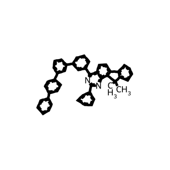 CC1(C)c2ccccc2-c2ccc3c(-c4cccc(-c5cccc(-c6ccc(-c7ccccc7)cc6)c5)c4)nc(-c4ccccc4)nc3c21